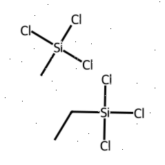 CC[Si](Cl)(Cl)Cl.C[Si](Cl)(Cl)Cl